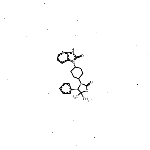 CC1(C)OC(=O)N(C2CCC(n3c(=O)[nH]c4ncccc43)CC2)[C@@H]1c1ccccc1